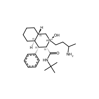 CC(N)CC[N@@+]1(O)C[C@H]2CCCC[C@@H]2[C@@H](c2ccccc2)[C@H]1C(=O)NC(C)(C)C